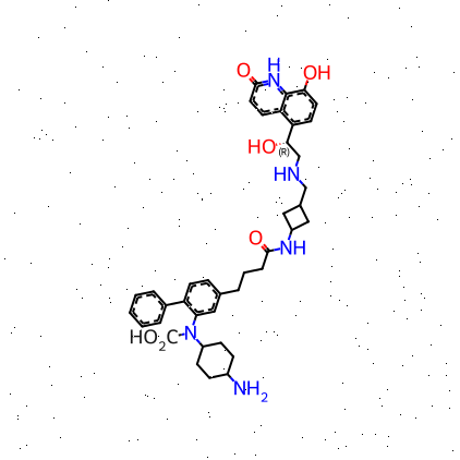 NC1CCC(N(C(=O)O)c2cc(CCCC(=O)NC3CC(CNC[C@H](O)c4ccc(O)c5[nH]c(=O)ccc45)C3)ccc2-c2ccccc2)CC1